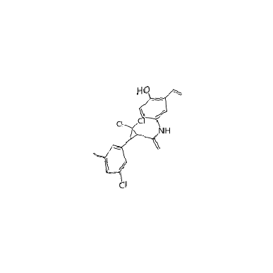 C=Cc1cc(NC(=C)C2C(c3cc(C)cc(Cl)c3)C2(Cl)Cl)ccc1O